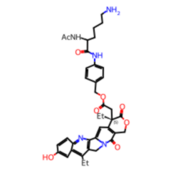 CCc1c2c(nc3ccc(O)cc13)-c1cc3c(c(=O)n1C2)COC(=O)[C@@]3(CC)CC(=O)OCc1ccc(NC(=O)C(CCCCN)NC(C)=O)cc1